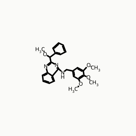 COc1cc(CNc2nc(C(OC)c3ccccc3)nc3ccccc23)cc(OC)c1OC